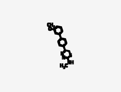 CNC1=NN=C(c2ccc(-c3cccc(OC)c3)cc2)CS1